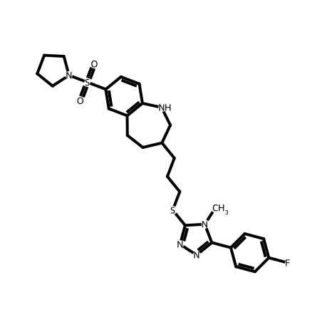 Cn1c(SCCCC2CCc3cc(S(=O)(=O)N4CCCC4)ccc3NC2)nnc1-c1ccc(F)cc1